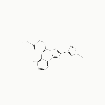 CNC(=O)[C@@H](C)Nc1nc2c(C(F)(F)F)cccc2c2nc(-c3cnn(C)c3)nn12